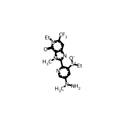 CCn1c(C(F)(F)F)cc2nc(-c3ncc(N(C)N)cc3[S+]([O-])CC)n(C)c2c1=O